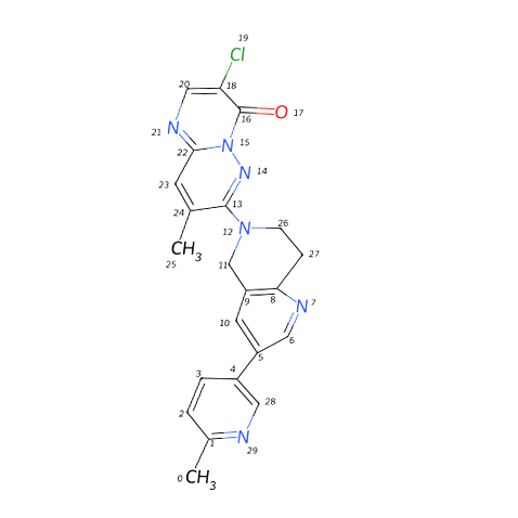 Cc1ccc(-c2cnc3c(c2)CN(c2nn4c(=O)c(Cl)cnc4cc2C)CC3)cn1